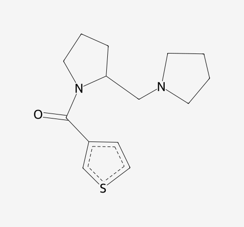 O=C(c1ccsc1)N1CCCC1CN1CCCC1